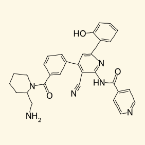 N#Cc1c(-c2cccc(C(=O)N3CCCCC3CN)c2)cc(-c2ccccc2O)nc1NC(=O)c1ccncc1